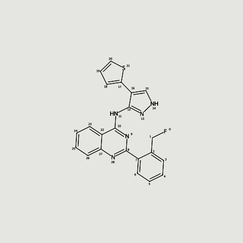 FCc1ccccc1-c1nc(Nc2n[nH]cc2-c2cccs2)c2ccccc2n1